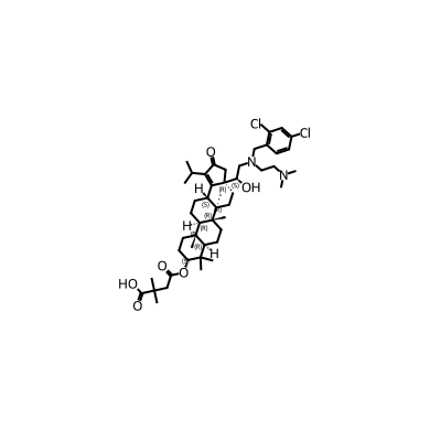 CC(C)C1=C2[C@H]3CC[C@@H]4[C@@]5(C)CC[C@H](OC(=O)CC(C)(C)C(=O)O)C(C)(C)[C@@H]5CC[C@@]4(C)[C@]3(C)CC[C@@]2([C@H](O)CN(CCN(C)C)Cc2ccc(Cl)cc2Cl)CC1=O